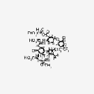 CCOC(=O)C(C)OC(=O)c1cc(Oc2ccc(C(F)(F)F)cc2Cl)ccc1[N+](=O)[O-].CP(=O)(O)CCC(N)C(=O)O.Cc1nn(-c2cc(CC(Cl)C(=O)O)c(Cl)cc2F)c(=O)n1C(F)F